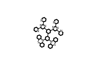 c1ccc(-c2cc(-c3cc(-c4cc(N5c6ccccc6Sc6ccccc65)cc(N5c6ccccc6Sc6ccccc65)c4)cc(-c4cc(-c5ccccn5)nc(-c5ccccn5)n4)c3)nc(-c3ccccn3)n2)nc1